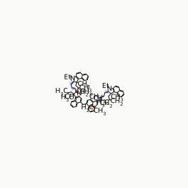 C=C(C)CC(C)(C(=C)/C=C/C=C1/N(CC)c2ccc3ccccc3c2C1(C)CC(=C)C)c1c(C)cc(Cc2cc3c(c4ccccc24)C(C)(CC(=C)C)C(/C=C/C=C2/N(CC)c4ccc5ccccc5c4C2(C)CC(=C)C)=[N+]3C)c2ccccc12